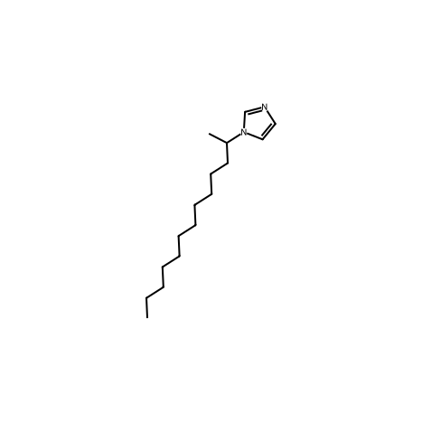 CCCCCCCCCCCC(C)n1ccnc1